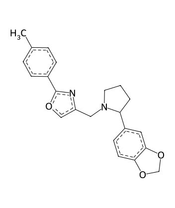 Cc1ccc(-c2nc(CN3CCCC3c3ccc4c(c3)OCO4)co2)cc1